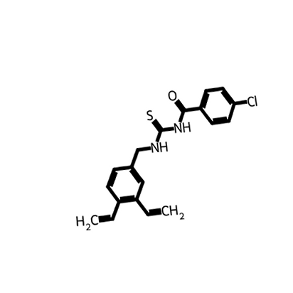 C=Cc1ccc(CNC(=S)NC(=O)c2ccc(Cl)cc2)cc1C=C